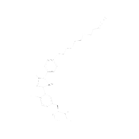 CC(C)(C)N[C@@H](Cc1ccc(O)c(C2NC(=O)N(c3ccc(OCCOCCOCCN=[N+]=[N-])cc3)C2=O)c1)C(=O)C(C)(C)C